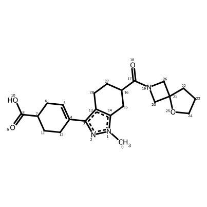 Cn1nc(C2=CCC(C(=O)O)CC2)c2c1CC(C(=O)N1CC3(CCCO3)C1)CC2